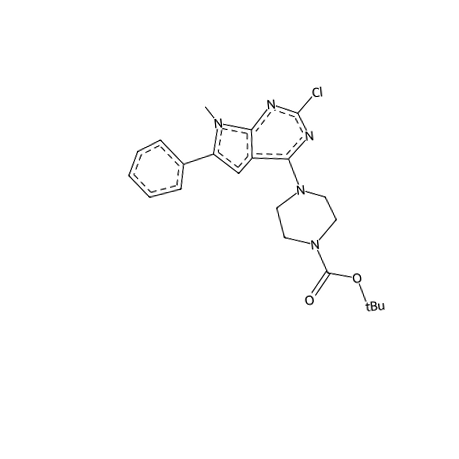 Cn1c(-c2ccccc2)cc2c(N3CCN(C(=O)OC(C)(C)C)CC3)nc(Cl)nc21